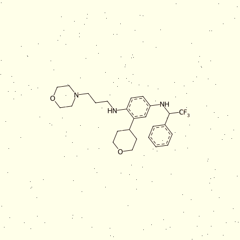 FC(F)(F)C(Nc1ccc(NCCCN2CCOCC2)c(C2CCOCC2)c1)c1ccccc1